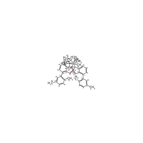 Cc1ccc(C)c(-c2cccc3c2C=C[CH]3[Hf]([CH3])([CH3])(=[SiH2])([CH]2C=Cc3c(-c4cc(C)ccc4C)cccc32)([C](C)(C)C)[C](C)(C)C)c1